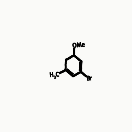 COC1C=C(Br)C=C(C)C1